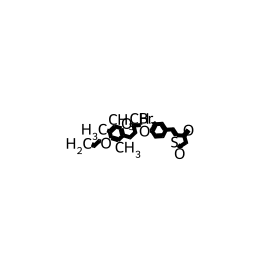 C=CCOc1c(C)c(C)c2c(c1C)CCC(C)(COc1ccc(/C=C3\SC(=O)CC3=O)cc1Br)O2